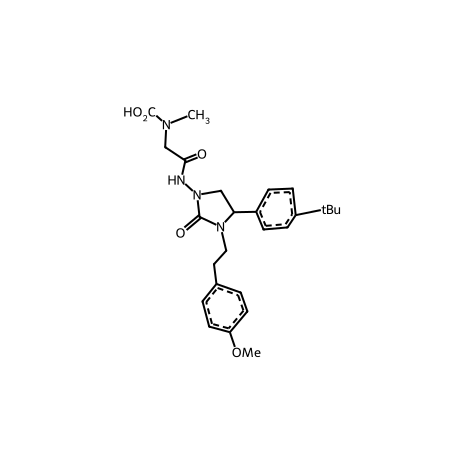 COc1ccc(CCN2C(=O)N(NC(=O)CN(C)C(=O)O)CC2c2ccc(C(C)(C)C)cc2)cc1